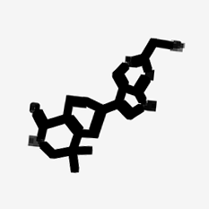 CC(C)Cc1ncc2c(-c3ccc4c(c3)C(C)(C)CNC4=O)c[nH]c2n1